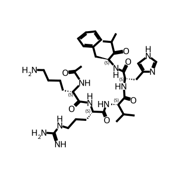 CC(=O)N[C@@H](CCCCN)C(=O)N[C@@H](CCCNC(=N)N)C(=O)N[C@H](C(=O)N[C@@H](Cc1c[nH]cn1)C(=O)N[C@@H](Cc1ccccc1)C(=O)C(C)C)C(C)C